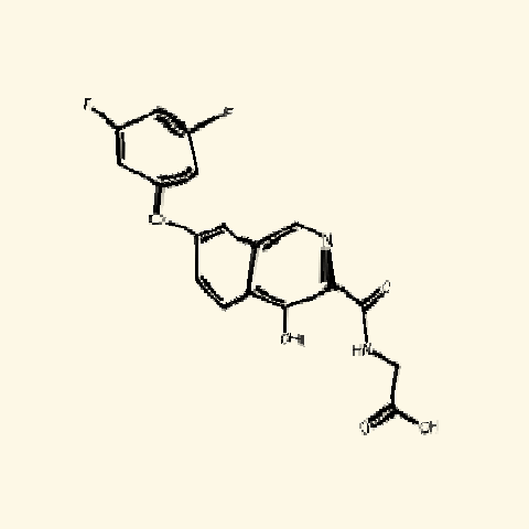 O=C(O)CNC(=O)c1ncc2cc(Oc3cc(F)cc(F)c3)ccc2c1O